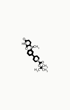 CN(c1cccc(C2=CCN(C(=O)OC(C)(C)C)CC2)c1)C1CCC(=O)NC1=O